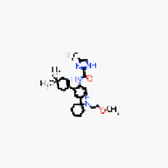 COCCNC1(c2ccc(NC(=O)c3nc(C)c[nH]3)c(C3=CCC(C)(C)CC3)c2)CCCCC1